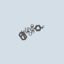 O=C(NC12CC3CC(CC(C3)C1)C2)NS(=O)(=O)c1ccc(F)cc1